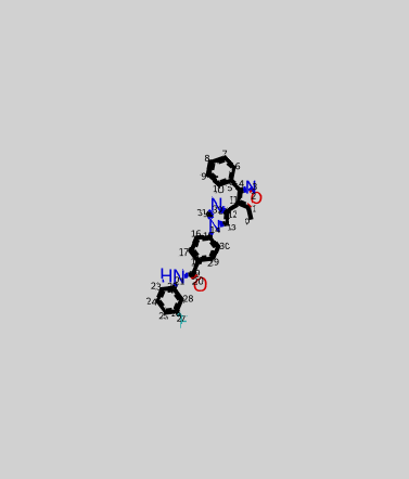 Cc1onc(-c2ccccc2)c1-c1cn(-c2ccc(C(=O)Nc3cccc(F)c3)cc2)cn1